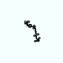 O=COOOc1ccc(C2OCC(CCCCNC(=O)CCN3C(=O)C=CC3=O)O2)cc1